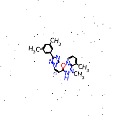 Cc1cc(C)cc(-c2ncn(/C=C\C(=O)NN(C)c3ncccc3C)n2)c1